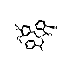 COc1ccc(CCN(CC(C)c2ccccc2)C(=O)c2ccccc2C#N)cc1OC